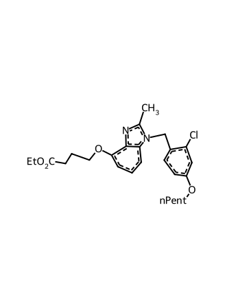 CCCCCOc1ccc(Cn2c(C)nc3c(OCCCC(=O)OCC)cccc32)c(Cl)c1